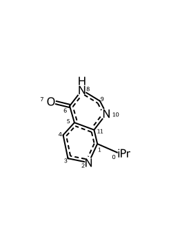 CC(C)c1nccc2c(=O)[nH]cnc12